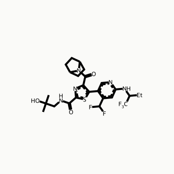 CCC(Nc1cc(C(F)F)c(-c2sc(C(=O)NCC(C)(C)O)nc2C(=O)N2C3CCC2CC3)cn1)C(F)(F)F